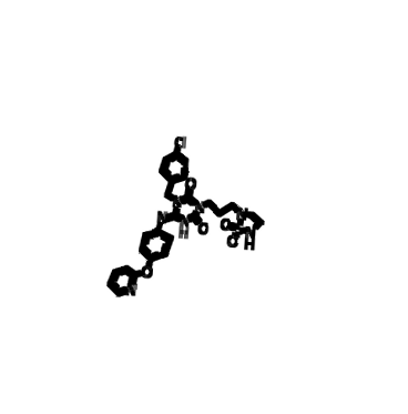 O=c1[nH]/c(=N\c2ccc(Oc3ccccn3)cc2)n(Cc2ccc(Cl)cc2)c(=O)n1CCCN1CCNS1(=O)=O